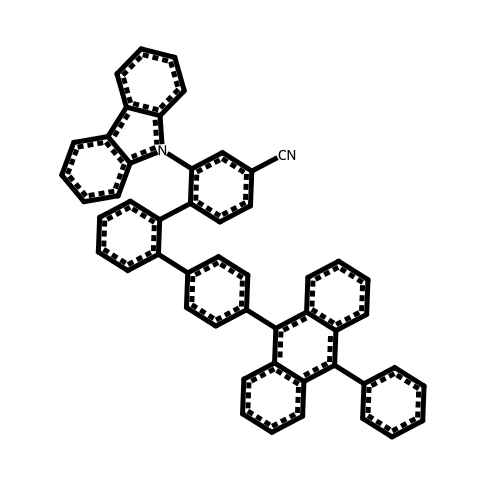 N#Cc1ccc(-c2ccccc2-c2ccc(-c3c4ccccc4c(-c4ccccc4)c4ccccc34)cc2)c(-n2c3ccccc3c3ccccc32)c1